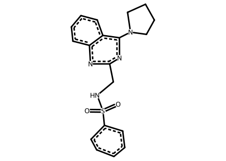 O=S(=O)(NCc1nc(N2CCCC2)c2ccccc2n1)c1ccccc1